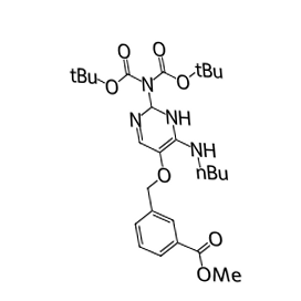 CCCCNC1=C(OCc2cccc(C(=O)OC)c2)C=NC(N(C(=O)OC(C)(C)C)C(=O)OC(C)(C)C)N1